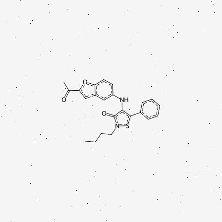 CCCCn1sc(-c2ccccc2)c(Nc2ccc3oc(C(C)=O)cc3c2)c1=O